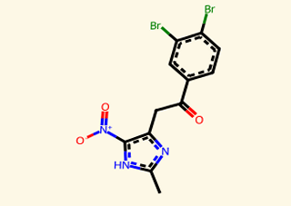 Cc1nc(CC(=O)c2ccc(Br)c(Br)c2)c([N+](=O)[O-])[nH]1